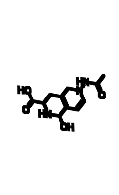 CC(=O)NN1C=CC2=C(CC(C(=O)O)NC2O)C1